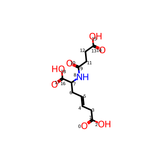 O=C(O)CC=CCC(NC(=O)CCC(=O)O)C(=O)O